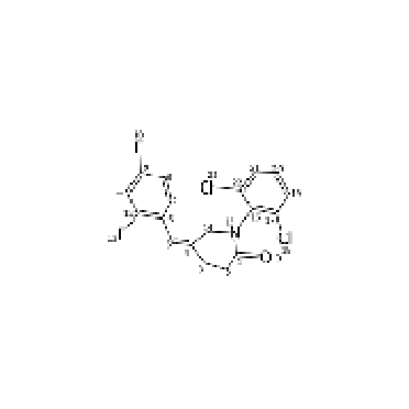 O=C1CCC(=Cc2ccc(F)cc2F)CN1c1c(Cl)cccc1Cl